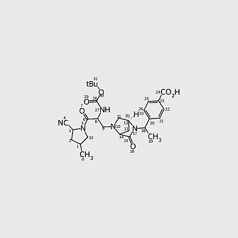 CC1CC(C#N)N(C(=O)C(CN2C[C@@H]3CC2C(=O)N3C(C)c2ccc(C(=O)O)cc2)NC(=O)OC(C)(C)C)C1